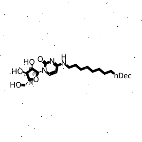 CCCCCCCCCCCCCCCCCCNc1ccn([C@@H]2O[C@H](CO)[C@@H](O)[C@@H]2O)c(=O)n1